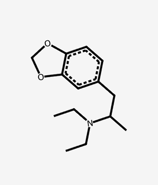 CCN(CC)C(C)Cc1ccc2c(c1)OCO2